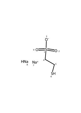 O=S(=O)([O-])CCS.[Na+].[NaH]